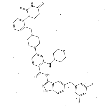 O=C1CCN(c2ccccc2CN2CCN(c3ccc(C(=O)Nc4n[nH]c5ccc(Cc6cc(F)cc(F)c6)cc45)c(NC4CCOCC4)c3)CC2)C(=O)N1